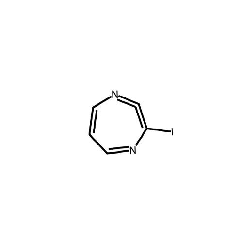 IC1=C=NC=CC=N1